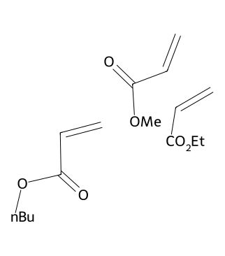 C=CC(=O)OC.C=CC(=O)OCC.C=CC(=O)OCCCC